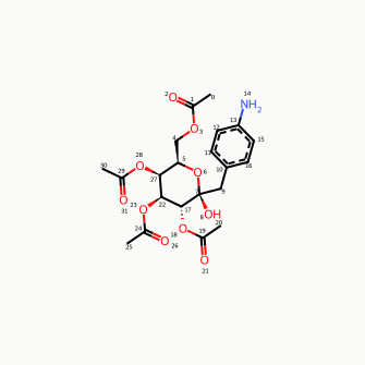 CC(=O)OC[C@H]1O[C@](O)(Cc2ccc(N)cc2)[C@H](OC(C)=O)[C@@H](OC(C)=O)[C@H]1OC(C)=O